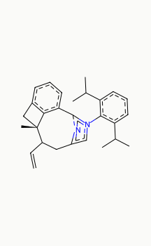 C=CC1Cc2cn(-c3c(C(C)C)cccc3C(C)C)c(n2)-c2cccc3c2[C@@]1(C)C3